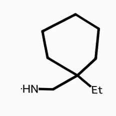 CCC1(C[NH])CCCCC1